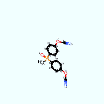 CP(=O)(c1ccc(OC#N)cc1)c1ccc(OC#N)cc1